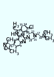 Cc1noc(C)c1-c1ccc2nc(N3CCN(CCN(C)C)CC3)nc(NC(C)c3ccc(Cl)cc3)c2c1